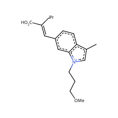 COCCCn1cc(C)c2ccc(/C=C(/C(=O)O)C(C)C)cc21